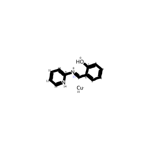 Oc1ccccc1/C=N/c1ccccn1.[Cu]